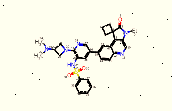 CCN1C(=O)C2(CCC2)c2c1cnc1ccc(-c3cnc(N4CC(N(C)C)C4)c(NS(=O)(=O)c4ccccc4)c3)cc21